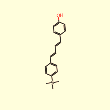 C[Si](C)(C)c1ccc(C=CC=Cc2ccc(O)cc2)cc1